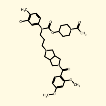 COc1ccc(C(=O)N2CC3CN(CCCN(C(=O)OC4CCN(C(C)=O)CC4)c4ccc(C)c(Cl)c4)CC3C2)c(OC)c1